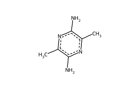 Cc1nc(N)c(C)nc1N